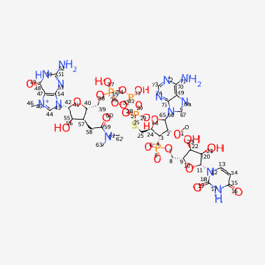 CO[C@@H]1[C@H](P(=O)([O-])OC[C@H]2O[C@@H](n3ccc(=O)[nH]c3=O)[C@H](O)[C@@H]2O)[C@@H](CSP(=O)(O)OP(=O)(O)OP(=O)(O)OC[C@H]2O[C@@H](n3c[n+](C)c4c(=O)[nH]c(N)nc43)[C@H](O)[C@@H]2CC(=O)N(C)C)O[C@H]1n1cnc2c(N)ncnc21